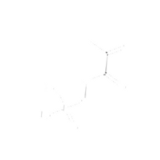 CC(=O)C(=O)OOP(=O)(O)O